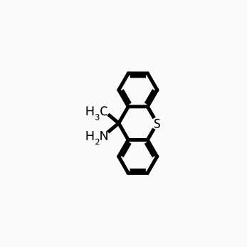 CC1(N)c2ccccc2Sc2ccccc21